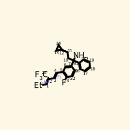 CC/C=C(/C=C/c1cc(C(N)(CCC2CC2)c2ccccc2)ccc1F)C(F)(F)F